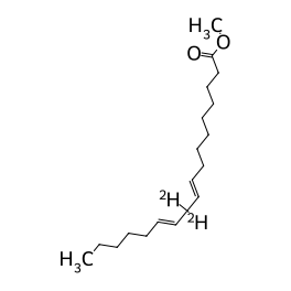 [2H]C([2H])(C=CCCCCC)C=CCCCCCCCC(=O)OC